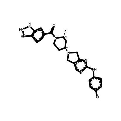 C[C@@H]1C[C@H](N2Cc3cnc(Nc4ccc(Cl)cc4)nc3C2)CCN1C(=O)c1ccc2c(c1)NNN2